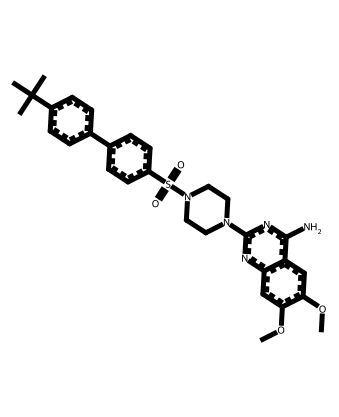 COc1cc2nc(N3CCN(S(=O)(=O)c4ccc(-c5ccc(C(C)(C)C)cc5)cc4)CC3)nc(N)c2cc1OC